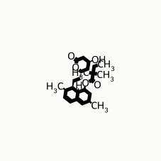 CCC(C)(C)C(=O)O[C@H]1C[C@@H](C)C=C2C=C[C@@H](C)[C@@H](CC[C@H]3C[C@@H](O)CC(=O)O3)[C@H]21